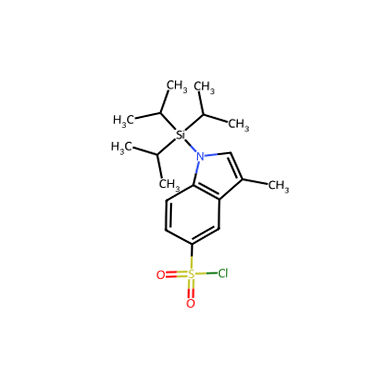 Cc1cn([Si](C(C)C)(C(C)C)C(C)C)c2ccc(S(=O)(=O)Cl)cc12